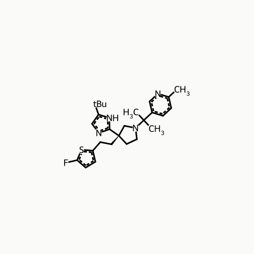 Cc1ccc(C(C)(C)N2CC[C@](CCc3ccc(F)s3)(c3ncc(C(C)(C)C)[nH]3)C2)cn1